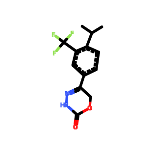 CC(C)c1ccc(C2=NNC(=O)OC2)cc1C(F)(F)F